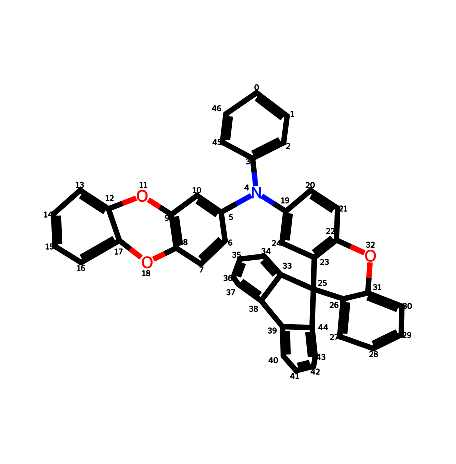 c1ccc(N(c2ccc3c(c2)Oc2ccccc2O3)c2ccc3c(c2)C2(c4ccccc4O3)c3ccccc3-c3ccccc32)cc1